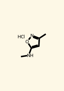 CNc1cc(C)no1.Cl